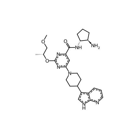 COC[C@@H](C)Oc1nc(C(=O)N[C@@H]2CCC[C@H]2N)cc(N2CCC(c3c[nH]c4ncccc34)CC2)n1